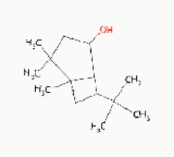 CC(C)(C)C1CC2(C)C1C(O)CC2(C)C